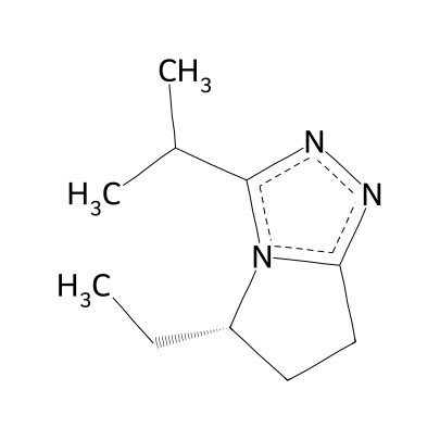 CC[C@H]1CCc2nnc(C(C)C)n21